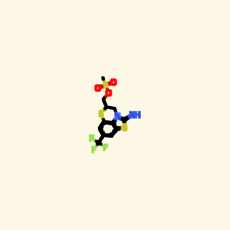 CS(=O)(=O)OCC1Cn2c(=N)sc3cc(C(F)(F)F)cc(c32)S1